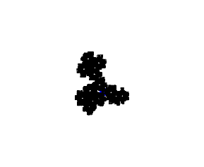 CC1(C)c2ccccc2-c2ccc(N(c3ccc(-c4ccc5c(c4)-c4ccccc4C5(c4ccccc4)c4ccccc4)cc3)c3ccc4c(c3)C(c3ccccc3)(c3ccccc3)c3ccccc3-4)cc21